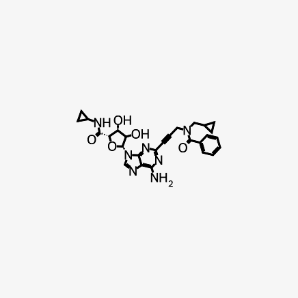 Nc1nc(C#CCN(CC2CC2)C(=O)c2ccccc2)nc2c1ncn2[C@@H]1O[C@H](C(=O)NC2CC2)[C@@H](O)C1O